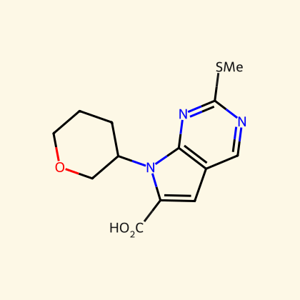 CSc1ncc2cc(C(=O)O)n(C3CCCOC3)c2n1